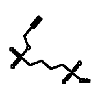 C#CCOS(=O)(=O)CCCCS(=O)(=O)OC